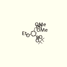 CCOc1cc(CP(=O)(OC)OC)cc(B2OC(C)(C)C(C)(C)O2)c1